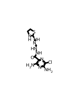 Nc1nc(N)c(C(=O)NNC=NNC2NCCS2)nc1Cl